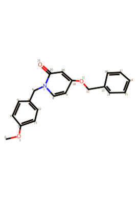 COc1ccc(Cn2ccc(OCc3ccccc3)cc2=O)cc1